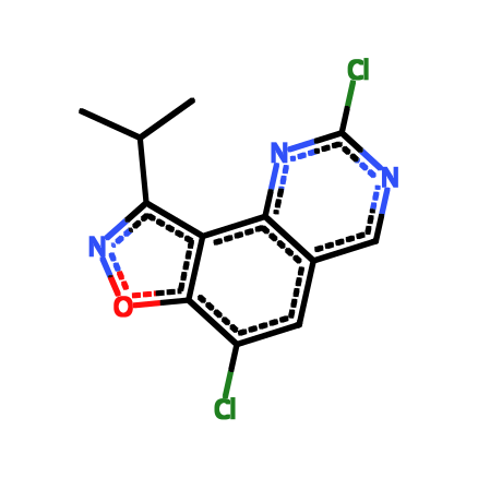 CC(C)c1noc2c(Cl)cc3cnc(Cl)nc3c12